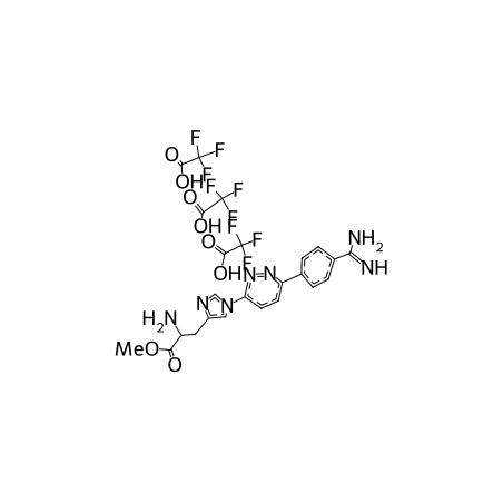 COC(=O)C(N)Cc1cn(-c2ccc(-c3ccc(C(=N)N)cc3)nn2)cn1.O=C(O)C(F)(F)F.O=C(O)C(F)(F)F.O=C(O)C(F)(F)F